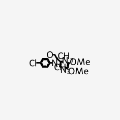 COc1ncc(C2(C)COc3cc(Cl)ccc3N2C)nc1OC